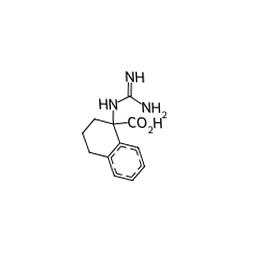 N=C(N)NC1(C(=O)O)CCCc2ccccc21